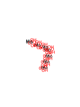 [Mo].[O]=[Mo](=[O])([OH])[OH].[O]=[Mo](=[O])([OH])[OH].[O]=[Mo](=[O])([OH])[OH].[O]=[Mo](=[O])([OH])[OH].[O]=[Mo](=[O])([OH])[OH].[O]=[Mo](=[O])([OH])[OH].[O]=[Mo](=[O])([OH])[OH]